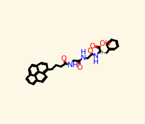 O=C(CCCc1ccc2ccc3cccc4ccc1c2c34)NCC(=O)NCC(=O)N[C@@H](Cc1ccccc1)C(=O)O